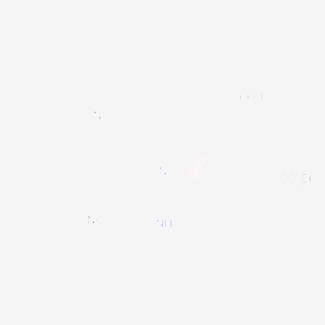 CCOC(=O)CCC(=O)C(CC(=O)OCC)Sc1nc(N)c(C#N)c(-c2ccccc2)c1C#N